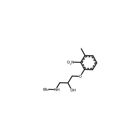 Cc1cccc(OCC(O)CNC(C)(C)C)c1[N+](=O)[O-]